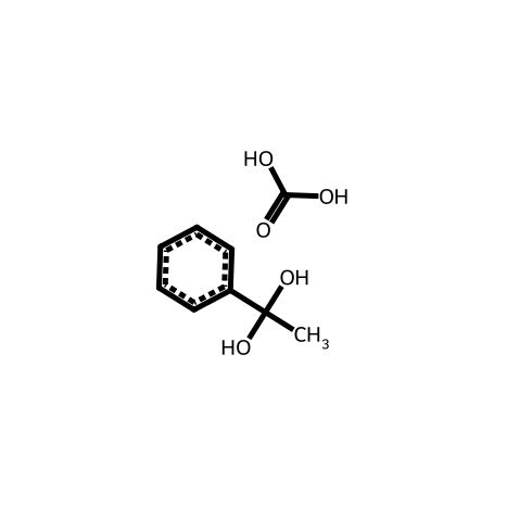 CC(O)(O)c1ccccc1.O=C(O)O